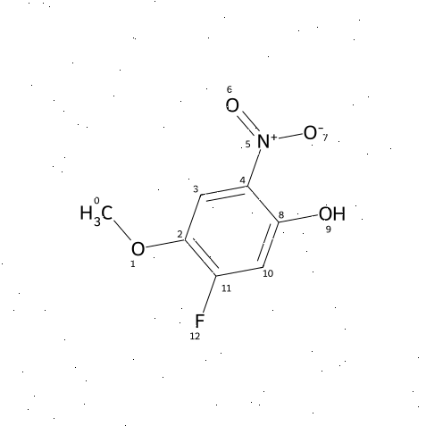 COc1cc([N+](=O)[O-])c(O)cc1F